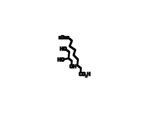 CCCCCCCCCCCCCCCCCC(=O)O.OCC(O)CO